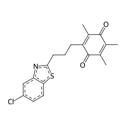 CC1=C(C)C(=O)C(CCCc2nc3cc(Cl)ccc3s2)=C(C)C1=O